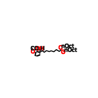 CCCCCCCCOC(CCCCCCCCc1cccc(OC(=O)O)c1O)OCCCCCCCC